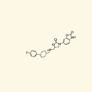 O=C1OC(CNCC2CCC(c3ccc(F)cc3)CC2)CN1c1ccc2[nH]c(=O)oc2c1